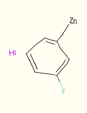 Fc1ccc[c]([Zn])c1.I